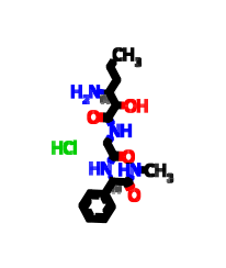 CCC[C@H](N)C(O)C(=O)NCC(=O)N[C@H](C(=O)NC)c1ccccc1.Cl